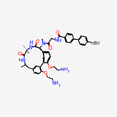 CCCCc1ccc(-c2ccc(C(=O)NCC(=O)N(C)C3C(=O)N[C@@H](C)C(=O)NC(C)Cc4ccc(OCCN)c(c4)-c4cc3ccc4OCCN)cc2)cc1